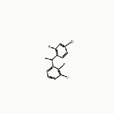 C[C](c1ccc(Cl)cc1F)c1cccc(Cl)c1F